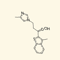 Cc1cn(CCC(=O)c2sc3ccccc3c2C)cn1.Cl